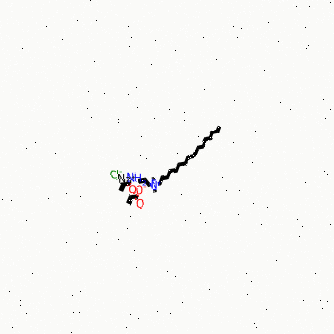 C=CC(=O)[O-].C=CC(N)=O.C=CC[N+](C)(C)CCCCCCCCCCCCCCCC.[Cl-].[Na+]